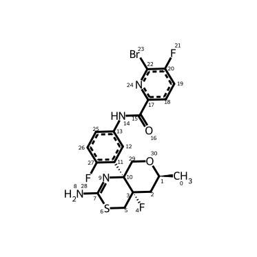 C[C@H]1C[C@@]2(F)CSC(N)=N[C@@]2(c2cc(NC(=O)c3ccc(F)c(Br)n3)ccc2F)CO1